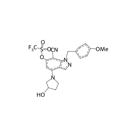 COc1ccc(Cn2ncc3c(N4CCC(O)C4)cc(OS(=O)(=O)C(F)(F)F)c(C#N)c32)cc1